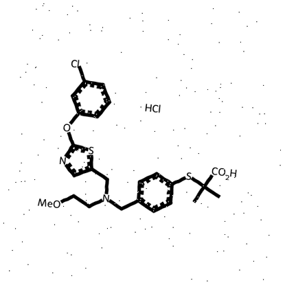 COCCN(Cc1ccc(SC(C)(C)C(=O)O)cc1)Cc1cnc(Oc2cccc(Cl)c2)s1.Cl